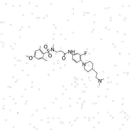 COc1cc(C)c(S(=O)(=O)N(C)CCC(=O)Nc2ccc(N3CCC(CCN(C)C)CC3)c(F)c2)c(C)c1